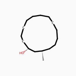 C[C@H]1CCCCCCCCCCCC[C@@H](O)C1